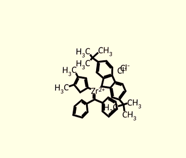 CC1=C(C)C[C]([Zr+2](=[C](c2ccccc2)c2ccccc2)[CH]2c3cc(C(C)(C)C)ccc3-c3ccc(C(C)(C)C)cc32)=C1.[Cl-].[Cl-]